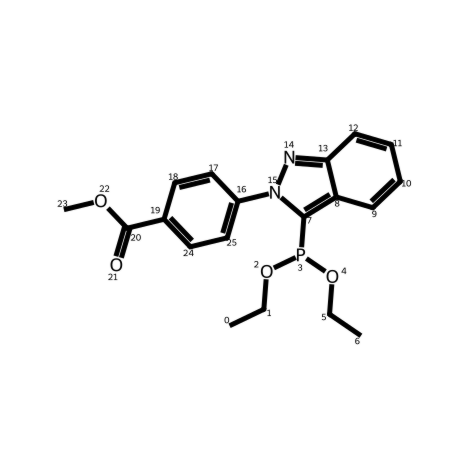 CCOP(OCC)c1c2ccccc2nn1-c1ccc(C(=O)OC)cc1